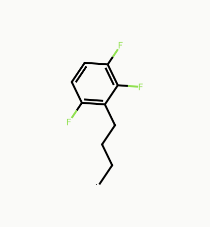 [CH2]CCCc1c(F)ccc(F)c1F